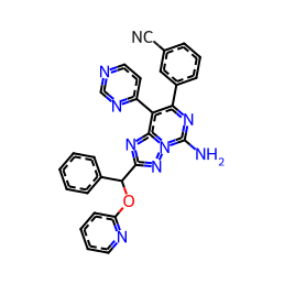 N#Cc1cccc(-c2nc(N)n3nc(C(Oc4ccccn4)c4ccccc4)nc3c2-c2ccncn2)c1